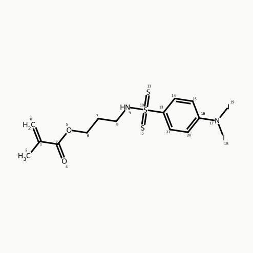 C=C(C)C(=O)OCCCNS(=S)(=S)c1ccc(N(I)I)cc1